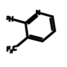 [2H]c1ncccc1C(F)(F)F